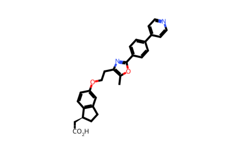 Cc1oc(-c2ccc(-c3ccncc3)cc2)nc1CCOc1ccc2c(c1)CC[C@H]2CC(=O)O